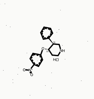 Cl.O=[N+]([O-])c1ccc(O[C@H]2CCNC[C@@H]2c2ccccc2)cc1